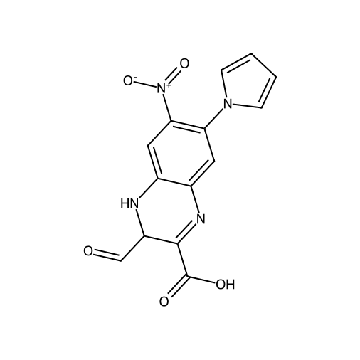 O=CC1Nc2cc([N+](=O)[O-])c(-n3cccc3)cc2N=C1C(=O)O